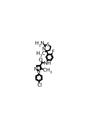 Cc1c(C(=O)Nc2ccc(F)c(C3(C)CCSC(N)=N3)c2)cnn1-c1ccc(Cl)cc1